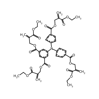 C=C(COC(=O)c1ccc(N(c2ccc(C(=O)OCC(=C)C(=O)OCC)cc2)c2cc(C(=O)OCC(=C)C(=O)OCC)cc(C(=O)OCC(=C)C(=O)OCC)c2)cc1)C(=O)OCC